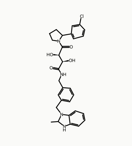 CC1Nc2ccccc2N1Cc1cccc(CNC(=O)[C@H](O)[C@@H](O)C(=O)N2CCCC2c2cccc(Cl)c2)c1